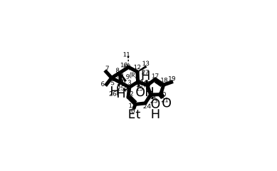 CCC1=C[C@H]2[C@@H]3C(C)(C)[C@]3(C)[C@H](C)[C@@H](C)[C@]2(O)[C@@H]2C=C(C)C(=O)[C@@]2(O)C1